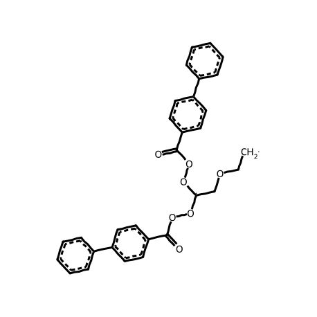 [CH2]COC[C](OOC(=O)c1ccc(-c2ccccc2)cc1)OOC(=O)c1ccc(-c2ccccc2)cc1